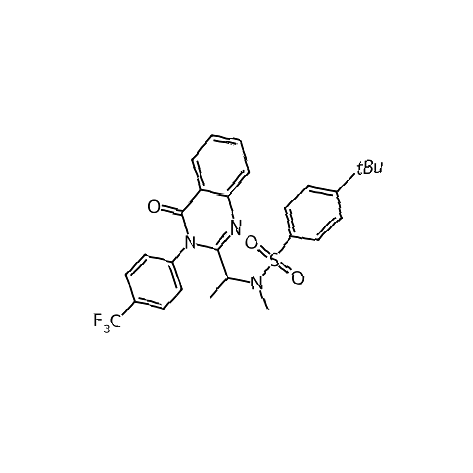 CC(c1nc2ccccc2c(=O)n1-c1ccc(C(F)(F)F)cc1)N(C)S(=O)(=O)c1ccc(C(C)(C)C)cc1